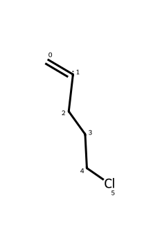 C=[C]CCCCl